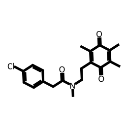 CC1=C(C)C(=O)C(CCN(C)C(=O)Cc2ccc(Cl)cc2)=C(C)C1=O